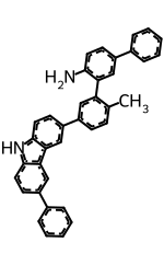 Cc1ccc(-c2ccc3[nH]c4ccc(-c5ccccc5)cc4c3c2)cc1-c1cc(-c2ccccc2)ccc1N